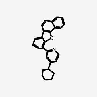 c1ccc2c(c1)ccc1c3cccc(-c4cc(C5CCCCC5)ccn4)c3oc21